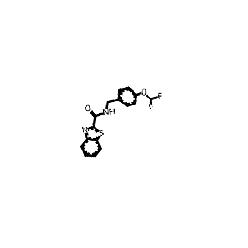 O=C(NCc1ccc(OC(F)F)cc1)c1nc2ccccc2s1